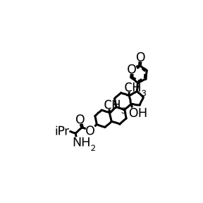 CC(C)C(N)C(=O)OC1CCC2(C)C(CCC3C2CCC2(C)C(c4ccc(=O)oc4)CCC32O)C1